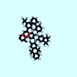 Cc1ccccc1-c1cc2c3c(c1)N(c1ccc(C(C)(C)C)cc1-c1ccccc1)c1c(ccc4oc5ccccc5c14)B3c1cc3c(cc1N2c1cc2c(cc1C)C(C)(C)c1ccccc1C2(C)C)C(C)(C)CC3(C)C